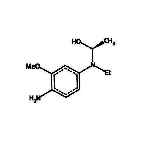 CCN(c1ccc(N)c(OC)c1)[C@H](C)O